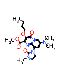 CCCCOc1c(C(=O)OC)nc2c(N3CCN(C)C3=O)cc(N(C)C)cn2c1=O